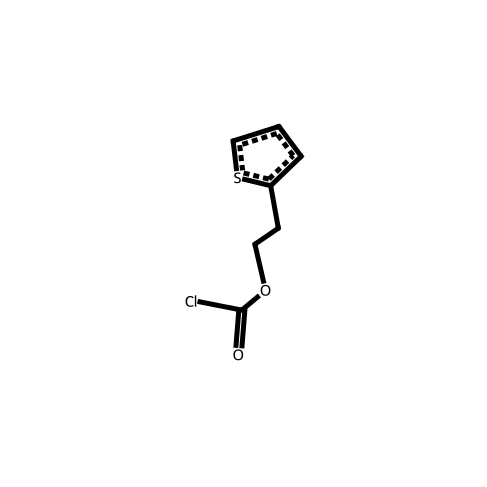 O=C(Cl)OCCc1cccs1